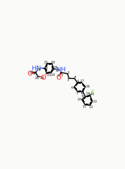 O=C(CCCc1ccc(-c2ccccc2F)cc1)Nc1ccc2c(c1)OCC(=O)N2